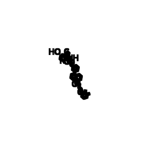 Cc1cccc(OCCCC(=O)N2CCCc3c(-c4cccc(COC(=O)NC(CC(=O)O)c5cccnc5)c4)cccc32)c1C